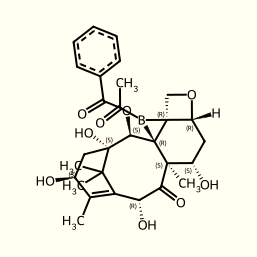 CC(=O)B1[C@]23[C@H](OC(=O)c4ccccc4)[C@]4(O)C[C@H](O)C(C)=C([C@@H](O)C(=O)[C@]2(C)[C@@H](O)C[C@H]2OC[C@]123)C4(C)C